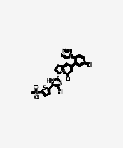 CS(=O)(=O)c1ccc(-c2[nH]c([C@@H]3CCc4cc(-c5cc(Cl)ccc5-n5cnnn5)cc(=O)n43)nc2Cl)s1